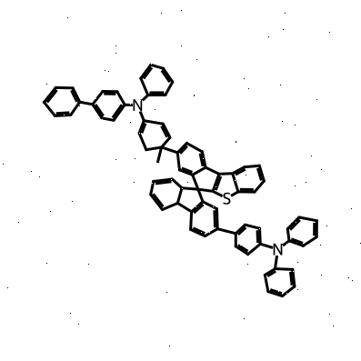 CC1(c2ccc3c(c2)C2(c4cc(-c5ccc(N(c6ccccc6)c6ccccc6)cc5)ccc4C4C=CC=CC42)c2sc4ccccc4c2-3)C=CC(N(c2ccccc2)c2ccc(-c3ccccc3)cc2)=CC1